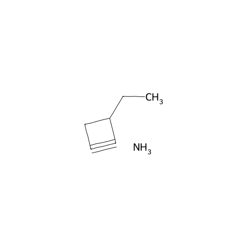 CCC1C#CC1.N